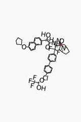 NC1CC2CCC(C1)N2C(=O)[C@H](NC(=O)[C@H](O)c1ccc2cc(OC3CCCC3)ccc2c1)C(F)(F)c1ccc(-c2ccc(Cl)cc2)cc1.O=C(O)C(F)(F)F